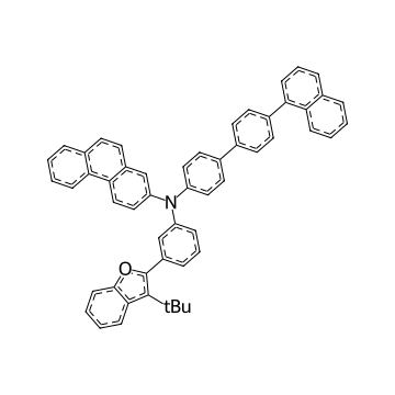 CC(C)(C)c1c(-c2cccc(N(c3ccc(-c4ccc(-c5cccc6ccccc56)cc4)cc3)c3ccc4c(ccc5ccccc54)c3)c2)oc2ccccc12